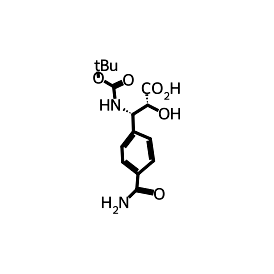 CC(C)(C)OC(=O)N[C@@H](c1ccc(C(N)=O)cc1)[C@@H](O)C(=O)O